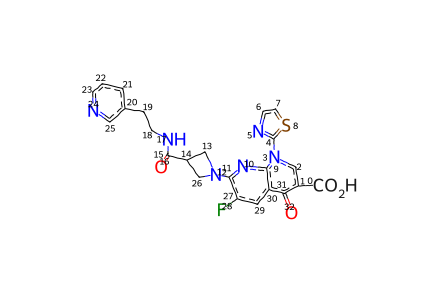 O=C(O)c1cn(-c2nccs2)c2nc(N3CC(C(=O)NCCc4cccnc4)C3)c(F)cc2c1=O